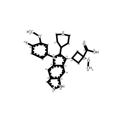 COc1cc(-n2c(C3CCOCC3)c([C@H]3C[C@](OC)(C(=O)O)C3)c3cc4[nH]ncc4cc32)ccc1F